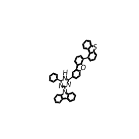 c1ccc(C2N=C(n3c4ccccc4c4ccccc43)N=C(c3ccc4oc5c(-c6cccc7sc8ccccc8c67)cccc5c4c3)N2)cc1